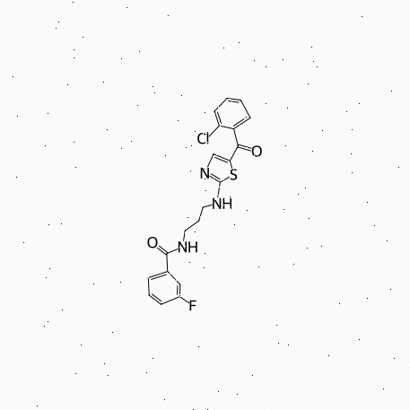 O=C(NCCCNc1ncc(C(=O)c2ccccc2Cl)s1)c1cccc(F)c1